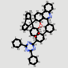 c1ccc(-c2nc(-c3ccccc3)nc(-c3ccc(-c4cccc(-c5nc6ccccc6c6ccc7c(c56)Oc5ccccc5C75c6ccccc6-c6ccccc65)c4)cc3)n2)cc1